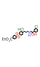 CCOC(=O)c1ccc(S(=O)(=O)c2ccc(CCCNC[C@@H](O)c3cccc(Cl)c3)cc2)cc1.Cl